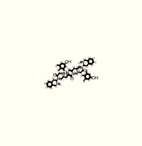 CN[C@@H](Cc1c(C)cc(O)cc1C)C(=O)N(CCCc1cnc(CCCN(C(=O)[C@H](Cc2c(C)cc(O)cc2C)NC)C2Cc3ccccc3CN2C)c(=O)[nH]1)C1Cc2ccccc2CN1C